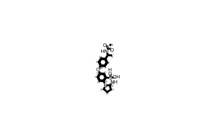 CC(NS(C)(=O)=O)c1ccc(Oc2ccc3c(c2)S(O)(O)NC2CCCN32)cc1